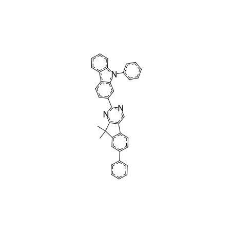 CC1(C)c2cc(-c3ccccc3)ccc2-c2cnc(-c3ccc4c5ccccc5n(-c5ccccc5)c4c3)nc21